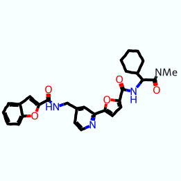 CNC(=O)C(NC(=O)c1ccc(-c2cc(CNC(=O)c3cc4ccccc4o3)ccn2)o1)C1CCCCC1